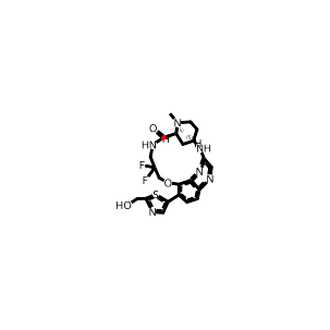 CN1CC[C@H]2C[C@H]1C(=O)NCC(F)(F)COc1c(-c3cnc(CO)s3)ccc3ncc(nc13)N2